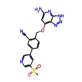 CS(=O)(=O)c1cncc(-c2ccc(COc3cc(N)nc4[nH]nnc34)c(C#N)c2)c1